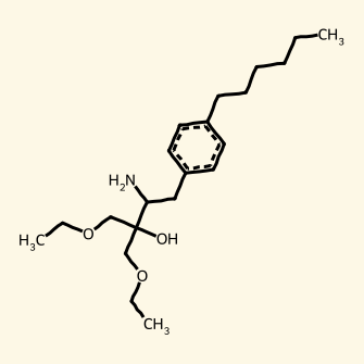 CCCCCCc1ccc(CC(N)C(O)(COCC)COCC)cc1